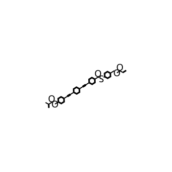 C=CC(=O)OCc1ccc(SC(=O)c2ccc(C#Cc3ccc(C#Cc4ccc(OC(=O)C(=C)C)cc4)cc3)cc2)cc1